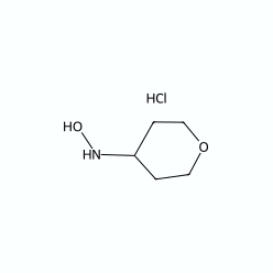 Cl.ONC1CCOCC1